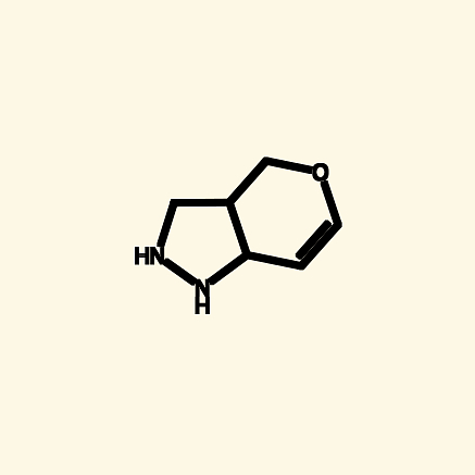 C1=CC2NNCC2CO1